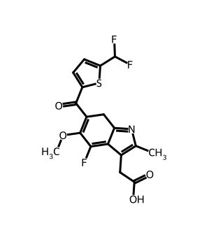 COC1=C(C(=O)c2ccc(C(F)F)s2)CC2=NC(C)=C(CC(=O)O)C2=C1F